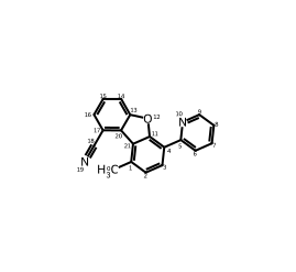 Cc1ccc(-c2ccccn2)c2oc3cccc(C#N)c3c12